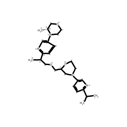 CC(C)c1ccc(N2CCOC(COCC(C)c3ccc(N4CCOC[C@H]4C)cn3)C2)cn1